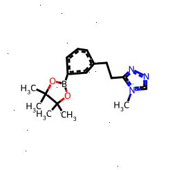 Cn1cnnc1CCc1cccc(B2OC(C)(C)C(C)(C)O2)c1